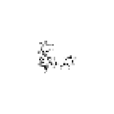 O=C(N[C@@H](COCc1ccccc1)C(=O)O)c1ccccc1